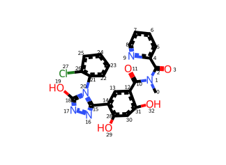 CN(C(=O)c1ccccn1)C(=O)c1cc(-c2nnc(O)n2-c2ccccc2Cl)c(O)cc1O